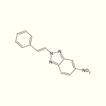 O=[N+]([O-])c1ccc2nn(/C=C/c3ccccc3)nc2c1